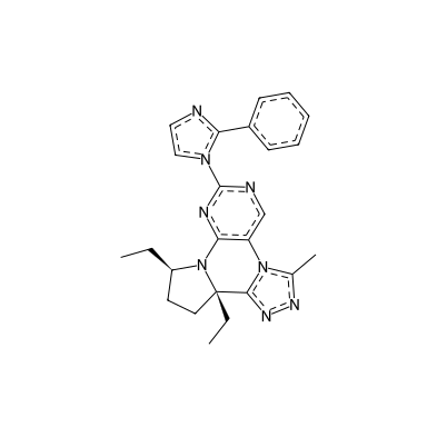 CC[C@@H]1CC[C@@]2(CC)c3nnc(C)n3-c3cnc(-n4ccnc4-c4ccccc4)nc3N12